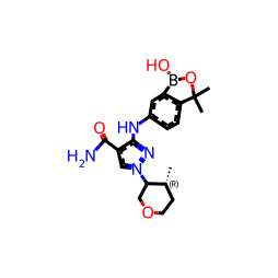 C[C@@H]1CCOCC1n1cc(C(N)=O)c(Nc2ccc3c(c2)B(O)OC3(C)C)n1